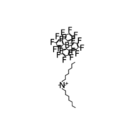 CCCCCCCC[N+](C)(C)CCCCCCCC.Fc1c(F)c(F)c([B-](c2c(F)c(F)c(F)c(F)c2F)(c2c(F)c(F)c(F)c(F)c2F)c2c(F)c(F)c(F)c(F)c2F)c(F)c1F